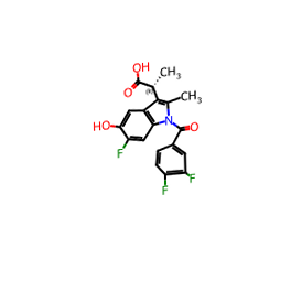 Cc1c([C@@H](C)C(=O)O)c2cc(O)c(F)cc2n1C(=O)c1ccc(F)c(F)c1